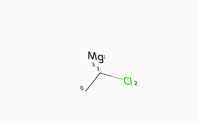 CCCl.[Mg]